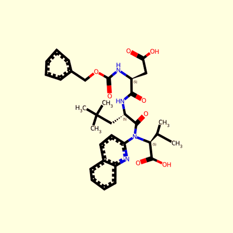 CC(C)[C@@H](C(=O)O)N(C(=O)[C@H](CC(C)(C)C)NC(=O)[C@H](CC(=O)O)NC(=O)OCc1ccccc1)c1ccc2ccccc2n1